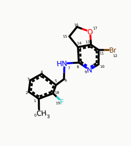 Cc1cccc(CNc2ncc(Br)c3c2CCO3)c1F